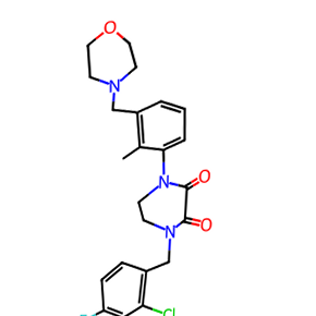 Cc1c(CN2CCOCC2)cccc1N1CCN(Cc2ccc(F)cc2Cl)C(=O)C1=O